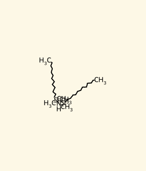 CCCCCCCCCCCCC[Si](C)(C)N[Si](C)(C)CCCCCCCCCCCCC